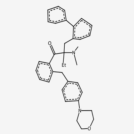 CCC(Cc1ccccc1-c1ccccc1)(C(=O)c1ccccc1Cc1ccc(N2CCOCC2)cc1)N(C)C